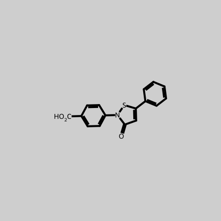 O=C(O)c1ccc(-n2sc(-c3ccccc3)cc2=O)cc1